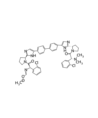 COO/C=N/[C@@H](C(=O)N1CCC[C@H]1c1ncc(-c2ccc(-c3ccc(-c4cnc([C@@H]5CCCN5C(=O)[C@@H](c5ccccc5Cl)N(C)C)[nH]4)cc3)cc2)[nH]1)c1ccccc1Cl